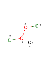 ClOOCl.[Os]